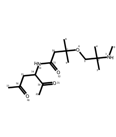 CNC(C)(C)COC(C)(C)CC(=O)NC(CC(C)=O)C(C)=O